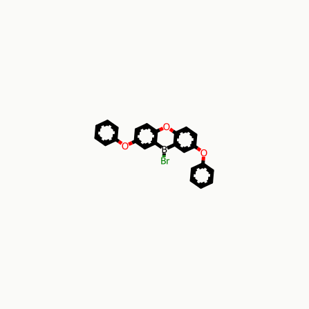 BrB1c2cc(Oc3ccccc3)ccc2Oc2ccc(Oc3ccccc3)cc21